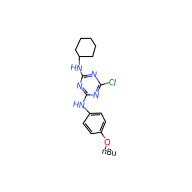 CCCCOc1ccc(Nc2nc(Cl)nc(NC3CCCCC3)n2)cc1